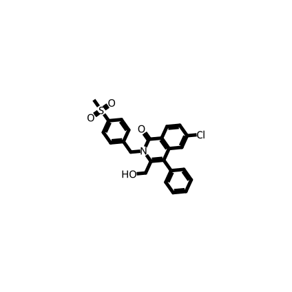 CS(=O)(=O)c1ccc(Cn2c(CO)c(-c3ccccc3)c3cc(Cl)ccc3c2=O)cc1